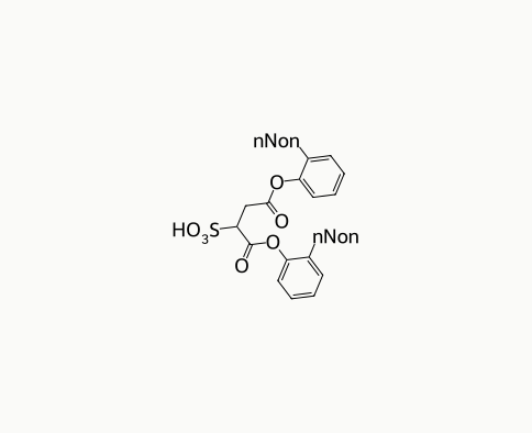 CCCCCCCCCc1ccccc1OC(=O)CC(C(=O)Oc1ccccc1CCCCCCCCC)S(=O)(=O)O